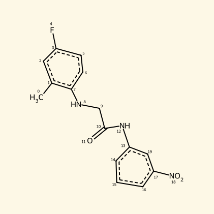 Cc1cc(F)ccc1NCC(=O)Nc1cccc([N+](=O)[O-])c1